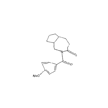 COc1ccc(C(=O)N2CC3CCCC3CCC2=O)cc1